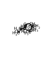 CO[C@H]1C[C@H](C)Cc2cc(cc(OC(=O)N(C)CCCN(C)Cl)c2)NC(=O)/C(C)=C/CC[C@H](C)[C@@H](OC(N)=O)/C(C)=C/[C@H](C)[C@H]1O